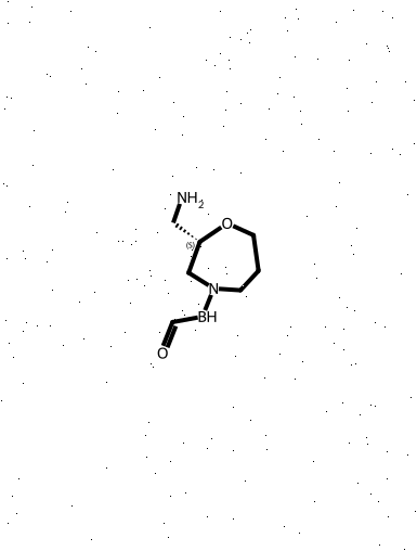 NC[C@H]1CN(BC=O)CCCO1